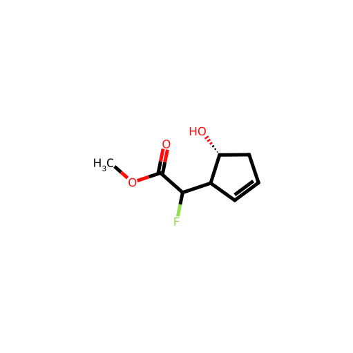 COC(=O)C(F)C1C=CC[C@H]1O